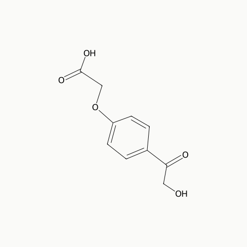 O=C(O)COc1ccc(C(=O)CO)cc1